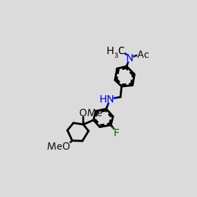 COC1CCC(OC)(c2cc(F)cc(NCc3ccc(N(C)C(C)=O)cc3)c2)CC1